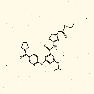 CCOC(=O)Cc1csc(NC(=O)c2cc(Oc3ccc(C(=O)N4CCCC4)cn3)nc(OC(C)C)c2)n1